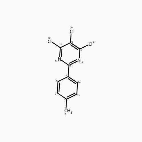 Cc1ccc(-c2nc(Cl)c(Cl)c(Cl)n2)cc1